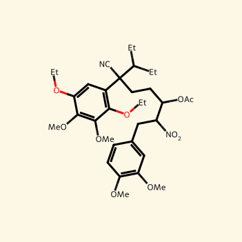 CCOc1cc(C(C#N)(CCC(OC(C)=O)C(Cc2ccc(OC)c(OC)c2)[N+](=O)[O-])C(CC)CC)c(OCC)c(OC)c1OC